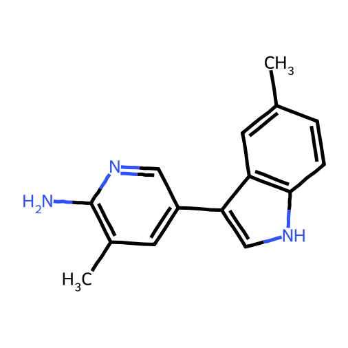 Cc1ccc2[nH]cc(-c3cnc(N)c(C)c3)c2c1